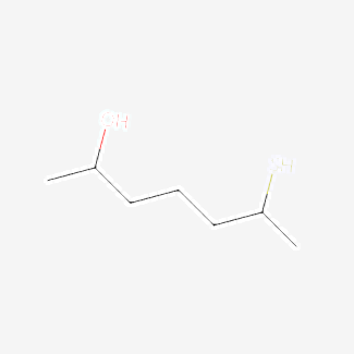 CC(O)CCCC(C)S